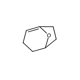 C1=C2CCC(CC1)O2